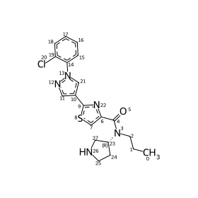 CCCN(C(=O)c1csc(-c2cnn(-c3ccccc3Cl)c2)n1)[C@@H]1CCNC1